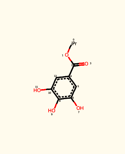 CC(C)OC(=O)c1cc(O)c(O)c(O)c1